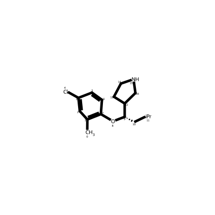 Cc1cc(Cl)ccc1O[C@@H](CC(C)C)C1CCNC1